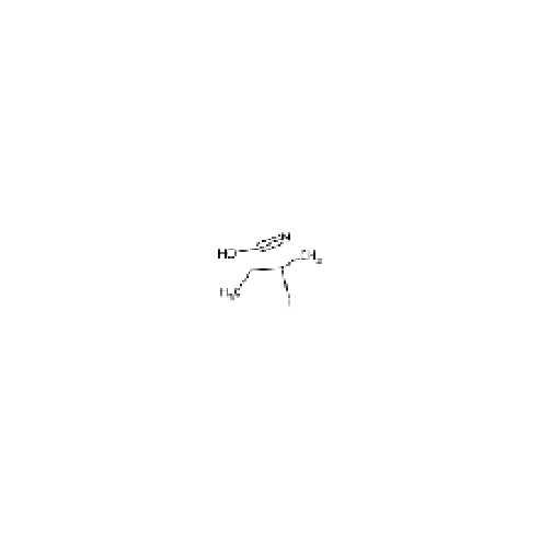 CCC(C)I.N#CO